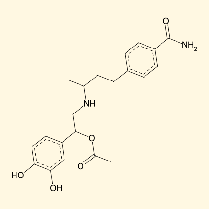 CC(=O)OC(CNC(C)CCc1ccc(C(N)=O)cc1)c1ccc(O)c(O)c1